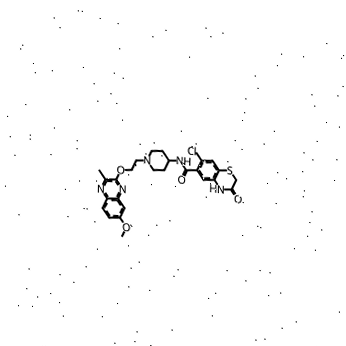 COc1ccc2nc(C)c(OCCN3CCC(NC(=O)c4cc5c(cc4Cl)SCC(=O)N5)CC3)nc2c1